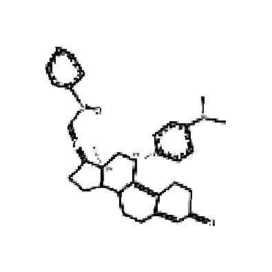 CN(C)c1ccc([C@H]2C[C@]3(C)C(=C=C[S+]([O-])c4ccccc4)CCC3C3CCC4=CC(=O)CCC4=C32)cc1